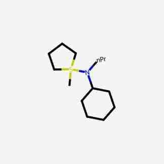 CCCN(C1CCCCC1)S1(C)CCCC1